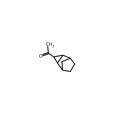 CC(=O)C1C2C3CCC(C3)C12